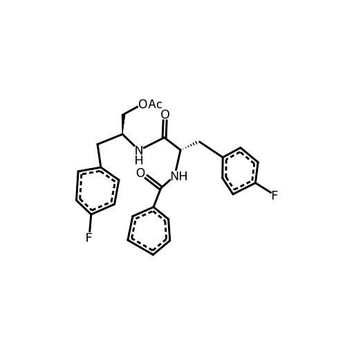 CC(=O)OC[C@H](Cc1ccc(F)cc1)NC(=O)[C@H](Cc1ccc(F)cc1)NC(=O)c1ccccc1